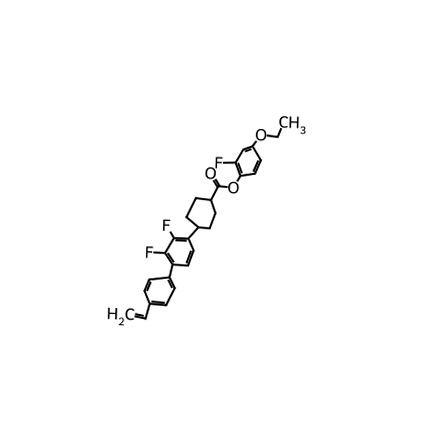 C=Cc1ccc(-c2ccc(C3CCC(C(=O)Oc4ccc(OCC)cc4F)CC3)c(F)c2F)cc1